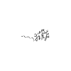 CCCCCCC(C)OC(=O)C(F)(F)N1C(F)(F)C(F)(F)OC(F)(F)C1(F)F